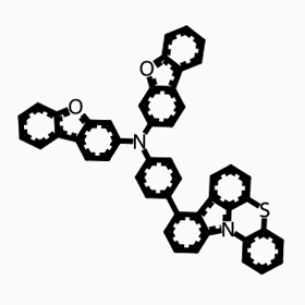 c1ccc2c(c1)Sc1cccc3c4c(-c5ccc(N(c6ccc7c(c6)oc6ccccc67)c6ccc7c(c6)oc6ccccc67)cc5)cccc4n-2c13